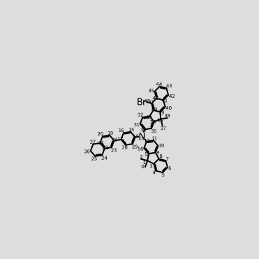 CC1(C)c2ccccc2-c2ccc(N(c3ccc(-c4ccc5c(c4)C=CCC5)cc3)c3ccc4c(c3)C(C)(C)c3cc5ccccc5c(Br)c3-4)cc21